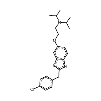 CC(C)N(CCOc1ccc2nc(Cc3ccc(Cl)cc3)sc2c1)C(C)C